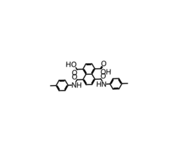 Cc1ccc(NC(=O)c2ccc(C(=O)Nc3ccc(C)cc3)c3c(C(=O)O)ccc(C(=O)O)c23)cc1